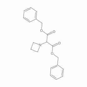 O=C(OCc1ccccc1)C(C(=O)OCc1ccccc1)N1CCC1